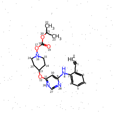 C#Cc1ccccc1Nc1cc(OC2CCN(OC(=O)OC(C)C)CC2)ncn1